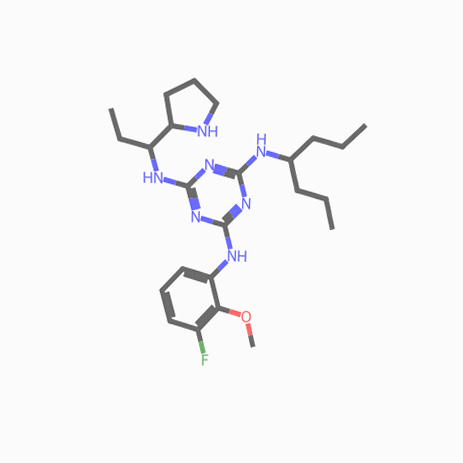 CCCC(CCC)Nc1nc(Nc2cccc(F)c2OC)nc(NC(CC)C2CCCN2)n1